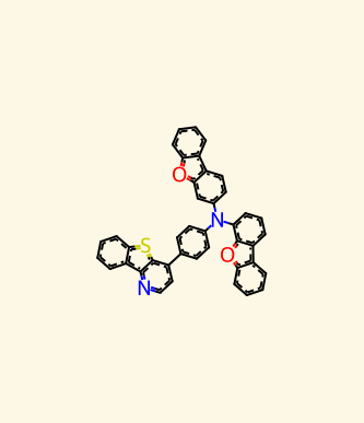 c1ccc2c(c1)oc1cc(N(c3ccc(-c4ccnc5c4sc4ccccc45)cc3)c3cccc4c3oc3ccccc34)ccc12